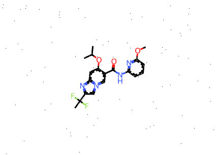 COc1cccc(NC(=O)c2cn3cc(C(C)(F)F)nc3cc2OC(C)C)n1